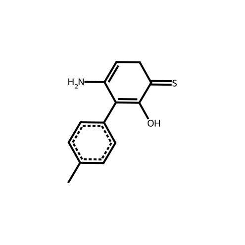 Cc1ccc(C2=C(O)C(=S)CC=C2N)cc1